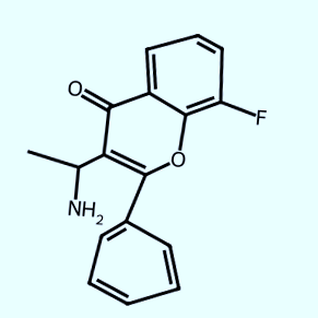 CC(N)c1c(-c2ccccc2)oc2c(F)cccc2c1=O